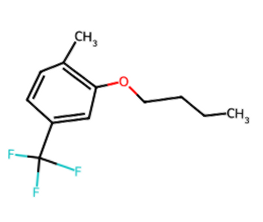 CCCCOc1cc(C(F)(F)F)ccc1C